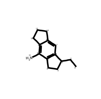 CCC1CCc2c1cc1c(c2N)CCC1